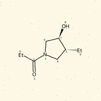 CCC(=O)N1C[C@@H](CC)[C@H](O)C1